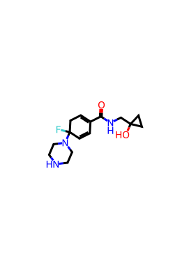 O=C(NCC1(O)CC1)C1=CCC(F)(N2CCNCC2)C=C1